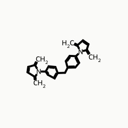 C=c1ccc(=C)n1-c1ccc(Cc2ccc(-n3c(=C)ccc3=C)cc2)cc1